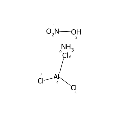 N.O=[N+]([O-])O.[Cl][Al]([Cl])[Cl]